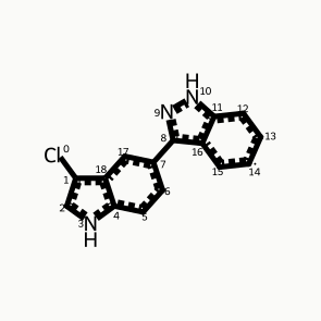 Clc1c[nH]c2ccc(-c3n[nH]c4cc[c]cc34)cc12